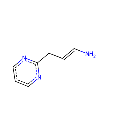 N/C=C/Cc1ncccn1